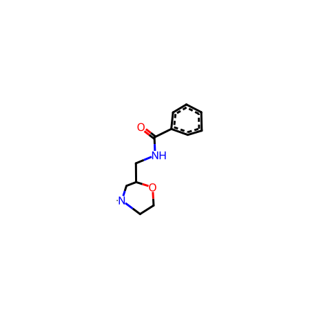 O=C(NCC1C[N]CCO1)c1ccccc1